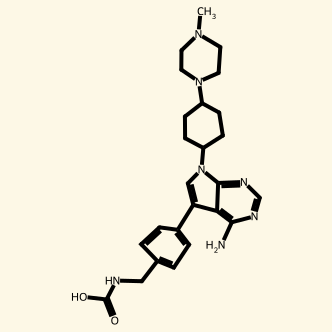 CN1CCN(C2CCC(n3cc(-c4ccc(CNC(=O)O)cc4)c4c(N)ncnc43)CC2)CC1